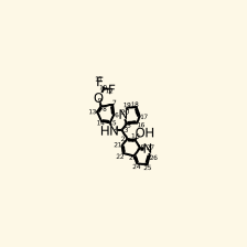 Oc1c(C(Nc2ccc(OC(F)F)cc2)c2ccccn2)ccc2cccnc12